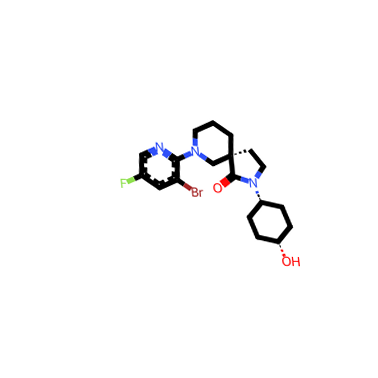 O=C1N([C@H]2CC[C@@H](O)CC2)CC[C@]12CCCN(c1ncc(F)cc1Br)C2